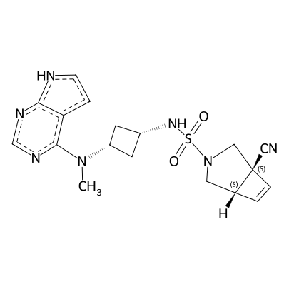 CN(c1ncnc2[nH]ccc12)[C@H]1C[C@@H](NS(=O)(=O)N2C[C@H]3C=C[C@@]3(C#N)C2)C1